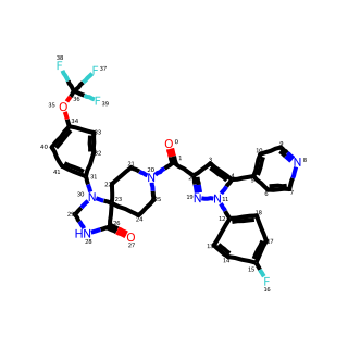 O=C(c1cc(-c2ccncc2)n(-c2ccc(F)cc2)n1)N1CCC2(CC1)C(=O)NCN2c1ccc(OC(F)(F)F)cc1